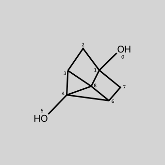 OC12CC3C4(O)C(C1)C324